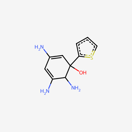 NC1=CC(O)(c2cccs2)C(N)C(N)=C1